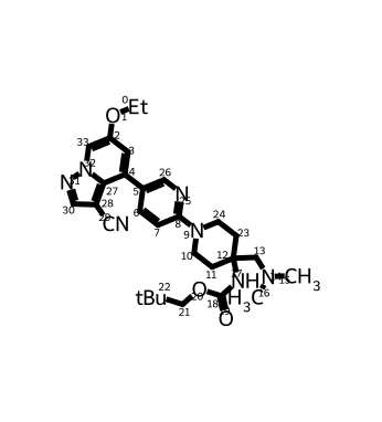 CCOc1cc(-c2ccc(N3CCC(CN(C)C)(NC(=O)OCC(C)(C)C)CC3)nc2)c2c(C#N)cnn2c1